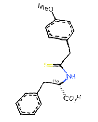 COc1ccc(CC(=S)N[C@@H](Cc2ccccc2)C(=O)O)cc1